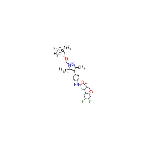 Cc1nn(COCC[Si](C)(C)C)c(C)c1-c1ccc(NC(=O)CC2c3cc(F)c(F)cc3OCC23CC3)cc1